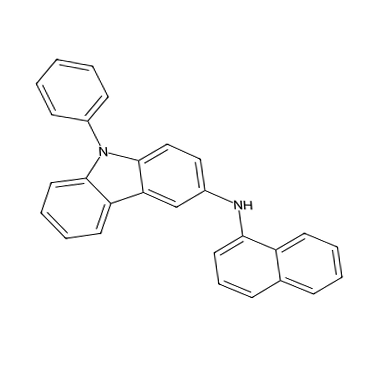 c1ccc(-n2c3ccccc3c3cc(Nc4cccc5ccccc45)ccc32)cc1